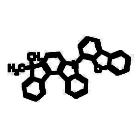 CC1(C)c2ccccc2-c2c1ccc1c2c2ccccc2n1-c1cccc2c1oc1ccccc12